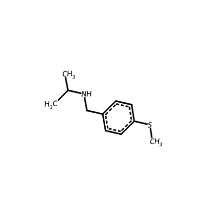 CSc1ccc(CNC(C)C)cc1